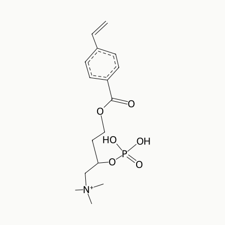 C=Cc1ccc(C(=O)OCCC(C[N+](C)(C)C)OP(=O)(O)O)cc1